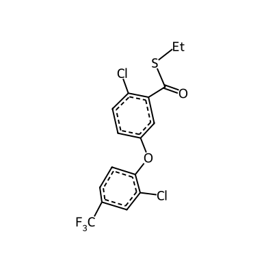 CCSC(=O)c1cc(Oc2ccc(C(F)(F)F)cc2Cl)ccc1Cl